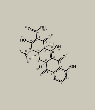 C=C1c2cccc(O)c2C(=O)C2=C(O)[C@]3(O)C(=O)C(C(N)=O)=C(O)[C@@H](N(C)C)[C@@H]3C[C@H]12